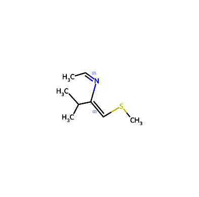 C/C=N\C(=C/SC)C(C)C